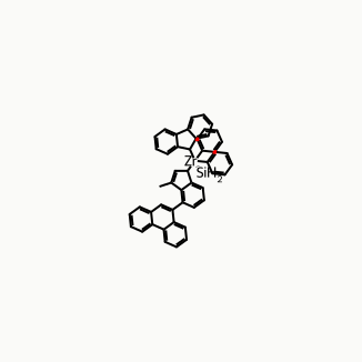 CC1=C[CH]([Zr](=[SiH2])([c]2ccccc2)([c]2ccccc2)[CH]2c3ccccc3-c3ccccc32)c2cccc(-c3cc4ccccc4c4ccccc34)c21